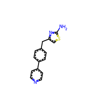 Nc1nc(Cc2ccc(-c3ccncc3)cc2)cs1